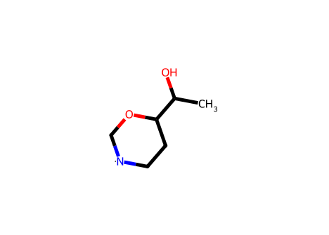 CC(O)C1CC[N]CO1